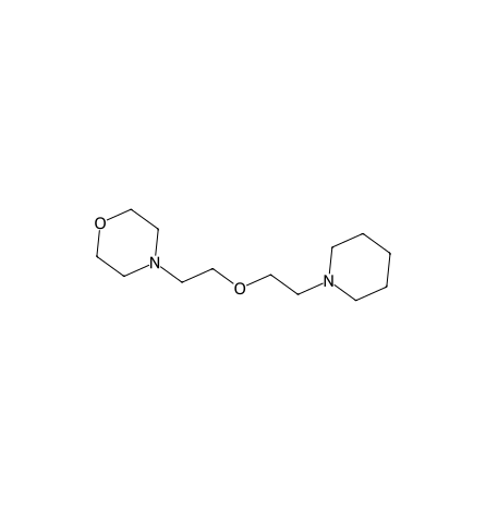 C1CCN(CCOCCN2CCOCC2)CC1